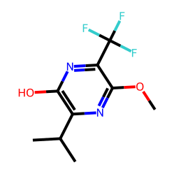 COc1nc(C(C)C)c(O)nc1C(F)(F)F